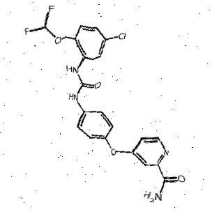 NC(=O)c1cc(Oc2ccc(NC(=O)Nc3cc(Cl)ccc3OC(F)F)cc2)ccn1